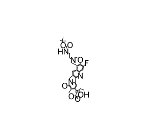 CC[C@@]1(O)C(=O)OCc2c1cc1n(c2=O)Cc2cc3c4c(c(F)cc3nc2-1)OCN(CCNC(=O)OC(C)(C)C)C4